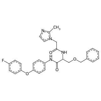 Cc1nccn1CC(=O)NC(COCc1ccccc1)C(=O)Nc1ccc(Oc2ccc(F)cc2)cc1